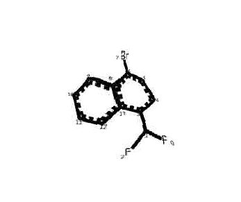 FC(F)c1ccc(Br)c2ccccc12